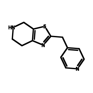 c1cc(Cc2nc3c(s2)CNCC3)ccn1